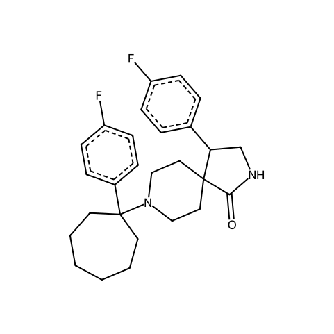 O=C1NCC(c2ccc(F)cc2)C12CCN(C1(c3ccc(F)cc3)CCCCCC1)CC2